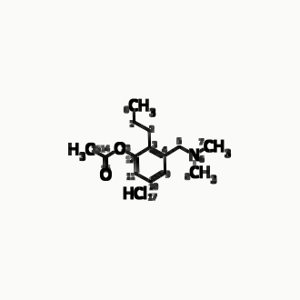 CCCc1c(CN(C)C)cccc1OC(C)=O.Cl